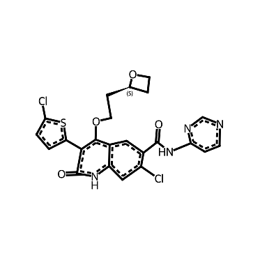 O=C(Nc1ccncn1)c1cc2c(OCC[C@@H]3CCO3)c(-c3ccc(Cl)s3)c(=O)[nH]c2cc1Cl